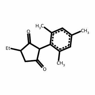 CCC1CC(=O)C(c2c(C)cc(C)cc2C)C1=O